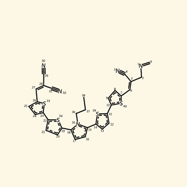 C=NC/C(C#N)=C/c1ccc(-c2ccc(-c3ccc(-c4ccc(-c5ccc(C=C(C#N)C#N)s5)s4)n3CCC)s2)s1